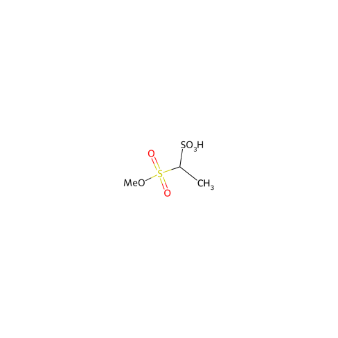 COS(=O)(=O)C(C)S(=O)(=O)O